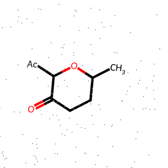 CC(=O)C1OC(C)CCC1=O